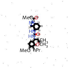 CCCc1c(OC)ccc2c1OC(C)(C)CC2NC(=O)Nc1cccc2c1cnn2C(=O)OC